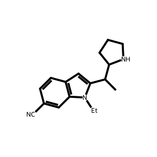 CCn1c(C(C)C2CCCN2)cc2ccc(C#N)cc21